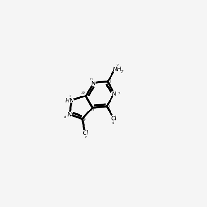 Nc1nc(Cl)c2c(Cl)n[nH]c2n1